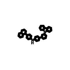 c1cc(-c2ccc(Nc3ccc(-c4cccc5ccccc45)cc3)cc2)cc(-n2c3ccccc3c3ccccc32)c1